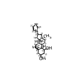 C[C@]12CC[C@@H]3[C@@H](CC=C4CC(O)CC(O)[C@@]43C)[C@@H]1CC(n1ccnc1)C2